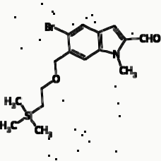 Cn1c(C=O)cc2cc(Br)c(COCC[Si](C)(C)C)cc21